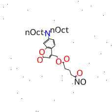 CCCCCCCCN(CCCCCCCC)c1ccc2c(COC(=O)CCCC(=O)N=O)cc(=O)oc2c1